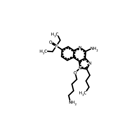 CCCCc1nc2c(N)nc3cc(P(=O)(CC)CC)ccc3c2n1OCCCCN